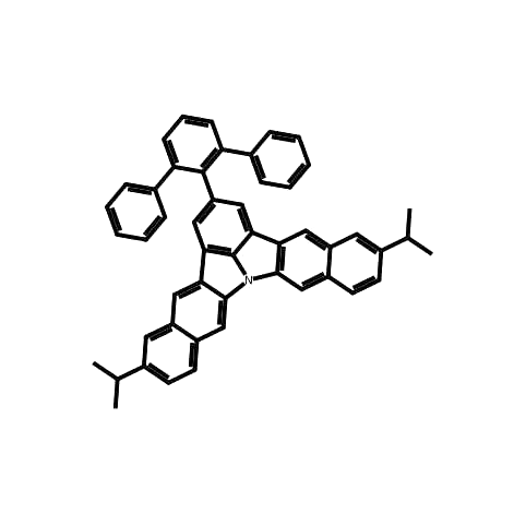 CC(C)c1ccc2cc3c(cc2c1)c1cc(-c2c(-c4ccccc4)cccc2-c2ccccc2)cc2c4cc5cc(C(C)C)ccc5cc4n3c12